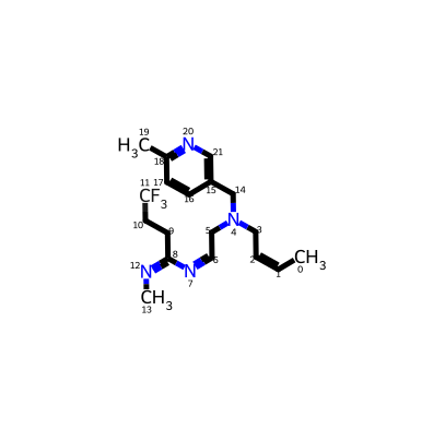 C/C=C\CN(C/C=N\C(CCC(F)(F)F)=N/C)Cc1ccc(C)nc1